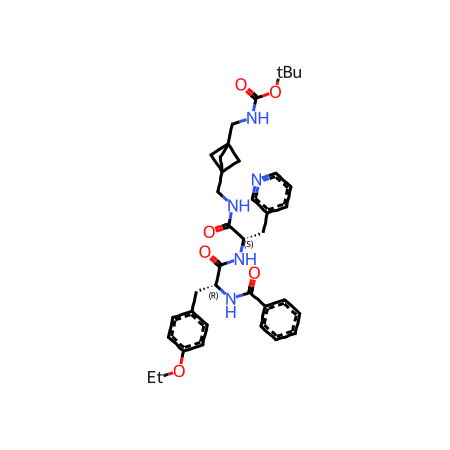 CCOc1ccc(C[C@@H](NC(=O)c2ccccc2)C(=O)N[C@@H](Cc2cccnc2)C(=O)NCC23CC(CNC(=O)OC(C)(C)C)(C2)C3)cc1